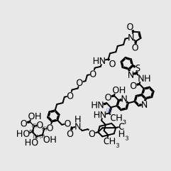 C/C(NCC12CC3(C)CC(C)(C1)CC(OCCNC(=O)OCc1cc(CCCOCCOCCOCCNC(=O)CCCCCN4C(=O)C=CC4=O)ccc1O[C@@H]1O[C@H](C(=O)O)[C@H](O)[C@H](O)[C@@H]1O)(C3)C2)=C(/C=N)c1ccc(-c2cnc3cccc(C(=O)Nc4nc5ccccc5s4)c3c2)nc1C(=O)O